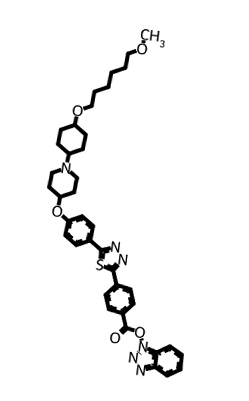 COCCCCCCOC1CCC(N2CCC(Oc3ccc(-c4nnc(-c5ccc(C(=O)On6nnc7ccccc76)cc5)s4)cc3)CC2)CC1